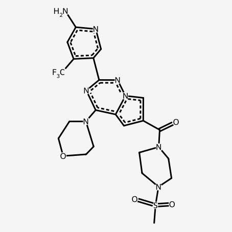 CS(=O)(=O)N1CCN(C(=O)c2cc3c(N4CCOCC4)nc(-c4cnc(N)cc4C(F)(F)F)nn3c2)CC1